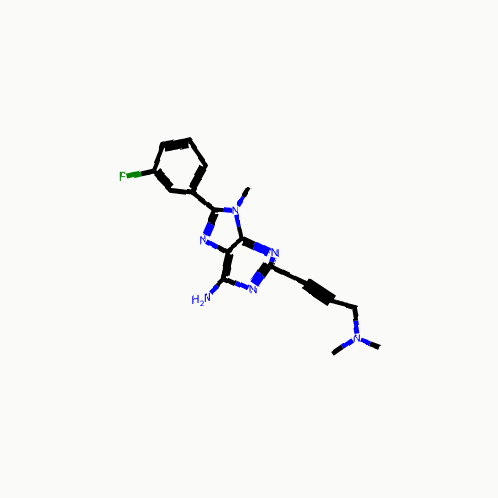 CN(C)CC#Cc1nc(N)c2nc(-c3cccc(F)c3)n(C)c2n1